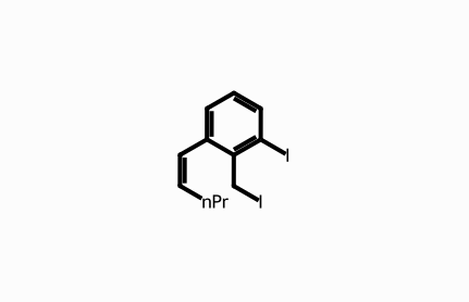 CCC/C=C\c1cccc(I)c1CI